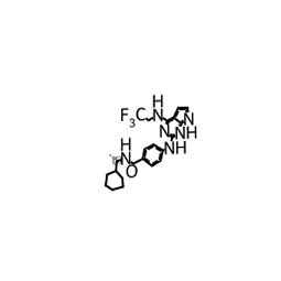 C[C@H](NC(=O)c1ccc(Nc2nc(NCC(F)(F)F)c3ccnc-3[nH]2)cc1)C1CCCCC1